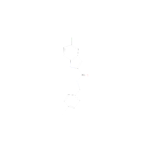 Cc1ccc(CNC(=O)c2cc3cc(Cl)ccc3[nH]2)cc1